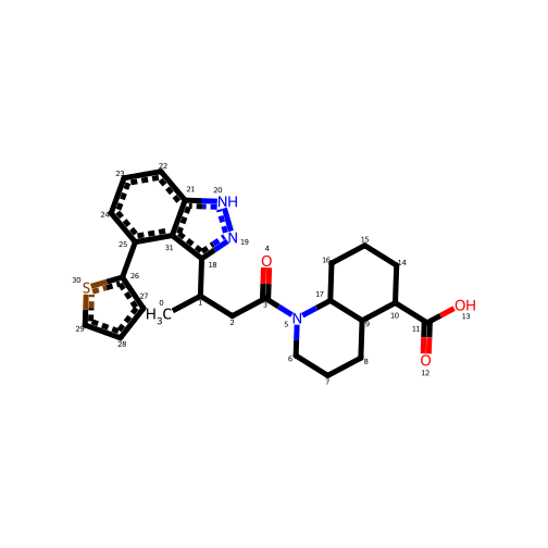 CC(CC(=O)N1CCCC2C(C(=O)O)CCCC21)c1n[nH]c2cccc(-c3cccs3)c12